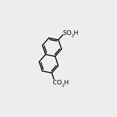 O=C(O)c1ccc2ccc(S(=O)(=O)O)cc2c1